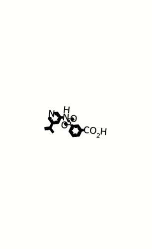 C=C(C)c1cncc(NS(=O)(=O)c2cccc(C(=O)O)c2)c1